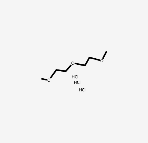 COCCOCCOC.Cl.Cl.Cl